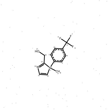 C[N+]1(c2ccc(C(F)(F)F)cc2)C=CN=C1CO